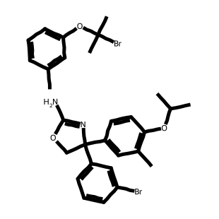 Cc1cc(C2(c3cccc(Br)c3)COC(N)=N2)ccc1OC(C)C.Cc1cccc(OC(C)(C)Br)c1